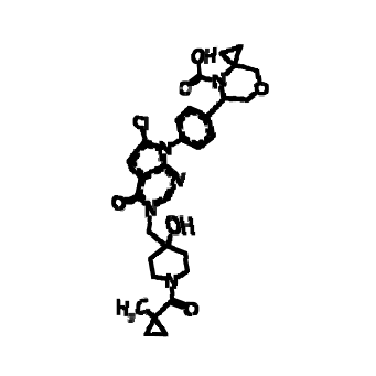 CC1(C(=O)N2CCC(O)(Cn3cnc4c(cc(Cl)n4-c4ccc(C5COCC6(CC6)N5C(=O)O)cc4)c3=O)CC2)CC1